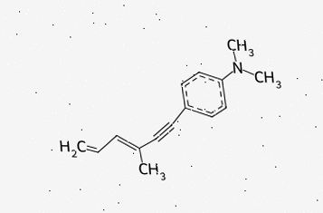 C=C/C=C(\C)C#Cc1ccc(N(C)C)cc1